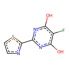 Oc1nc(-c2nccs2)nc(O)c1F